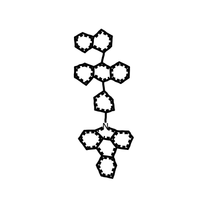 c1ccc2c(-c3c4ccccc4c(-c4ccc(-n5c6cccc7c8ccccc8c8cccc5c8c76)cc4)c4ccccc34)cccc2c1